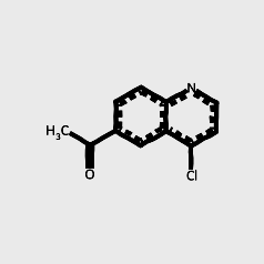 CC(=O)c1ccc2nccc(Cl)c2c1